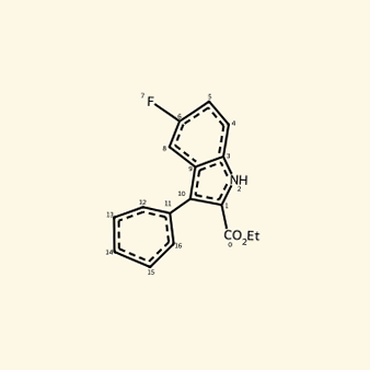 CCOC(=O)c1[nH]c2ccc(F)cc2c1-c1ccccc1